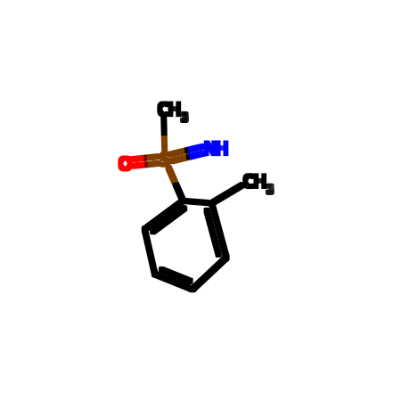 Cc1ccccc1S(C)(=N)=O